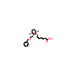 O=C(O)CC=C/C=C\C[C@H]1[C@@H](CCOCc2ccccc2)[C@H]2CC[C@@H]1O2